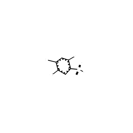 [O]S(=O)(=O)c1cc(Cl)c(F)cc1F